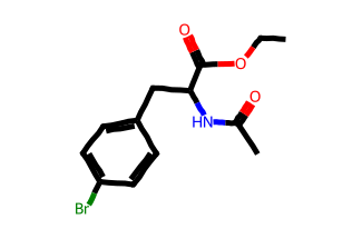 CCOC(=O)C(Cc1ccc(Br)cc1)NC(C)=O